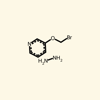 BrCOc1cccnc1.NN